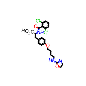 O=C(N[C@@H](Cc1ccc(OCCCCNC2=NCCO2)cc1)C(=O)O)c1c(Cl)cccc1Cl